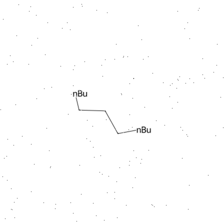 [CH]CCCCCCCCCC